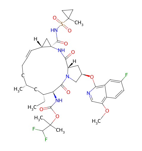 CC[C@@H]1C[C@H](C)CC/C=C\[C@@H]2C[C@@]2(C(=O)NS(=O)(=O)C2(C)CC2)NC(=O)[C@@H]2C[C@@H](Oc3ncc(OC)c4ccc(F)cc34)CN2C(=O)[C@H]1NC(=O)OC(C)(C)C(F)F